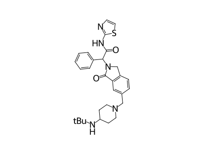 CC(C)(C)NC1CCN(Cc2ccc3c(c2)C(=O)N(C(C(=O)Nc2nccs2)c2ccccc2)C3)CC1